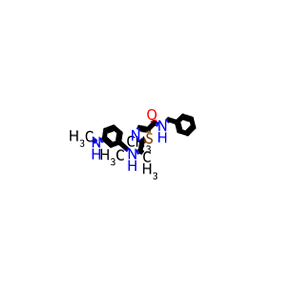 CNc1cccc(C(C)(C)NC(C)c2ncc(C(=O)NCc3ccccc3)s2)c1